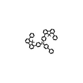 CC1(C)c2c(-c3ccccc3)cccc2-c2cccc(-c3ccc(N(c4ccc(-c5ccccc5)cc4)c4ccc(-c5cccc6c5C(C)(C)c5c(-c7ccccc7)cccc5-6)cc4)cc3)c21